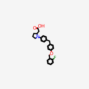 O=C(O)CC1CCCN1c1ccc(Cc2ccc(OCc3ccccc3F)cc2)cc1